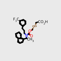 CC(c1cccc2ccccc12)N(CCCc1cccc(C(F)(F)F)c1)C(=O)OCSSCC(=O)O